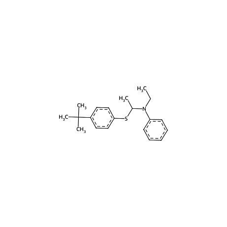 CCN(c1ccccc1)C(C)Sc1ccc(C(C)(C)C)cc1